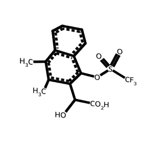 Cc1c(C(O)C(=O)O)c(OS(=O)(=O)C(F)(F)F)c2ccccc2c1C